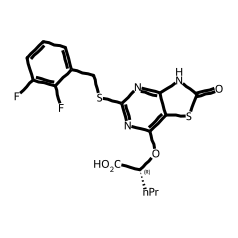 CCC[C@@H](Oc1nc(SCc2cccc(F)c2F)nc2[nH]c(=O)sc12)C(=O)O